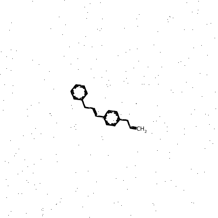 C=CCc1ccc(C=CCc2ccccc2)cc1